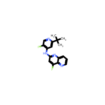 CC(C)(C)c1cc(Nc2cc(F)c3ncccc3n2)c(F)cn1